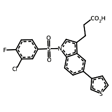 O=C(O)CCc1cn(S(=O)(=O)c2ccc(F)c(Cl)c2)c2ccc(-c3ccsc3)cc12